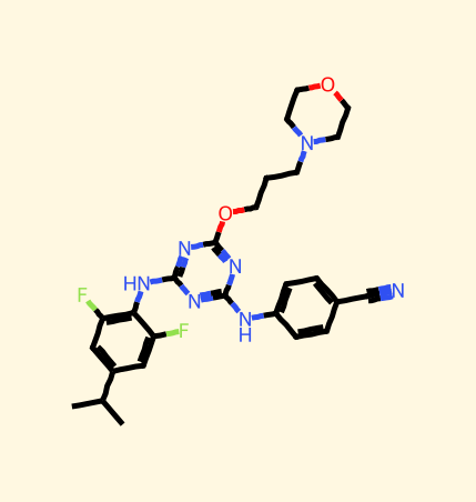 CC(C)c1cc(F)c(Nc2nc(Nc3ccc(C#N)cc3)nc(OCCCN3CCOCC3)n2)c(F)c1